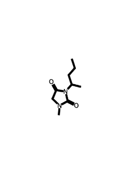 CCCC(C)N1C(=O)CN(C)C1=O